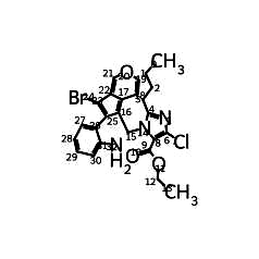 CCCCc1nc(Cl)c(C(=O)OCC)n1Cc1c2ccocc-2c(Br)c1-c1ccccc1N